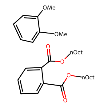 CCCCCCCCOC(=O)c1ccccc1C(=O)OCCCCCCCC.COc1ccccc1OC